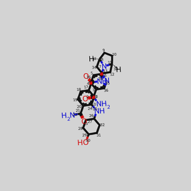 NC(=O)c1ccc(N2[C@@H]3CC[C@H]2C[C@@H](NC(=O)c2ccc(C(N)=O)c(NC4CCC(O)CC4)c2)C3)nc1